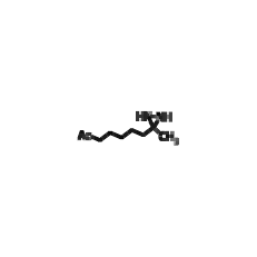 CC(=O)CCCCCC1(C)NN1